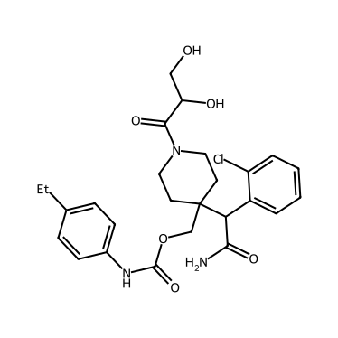 CCc1ccc(NC(=O)OCC2(C(C(N)=O)c3ccccc3Cl)CCN(C(=O)C(O)CO)CC2)cc1